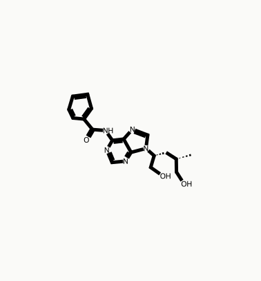 C[C@H](CO)C[C@H](CO)n1cnc2c(NC(=O)c3ccccc3)ncnc21